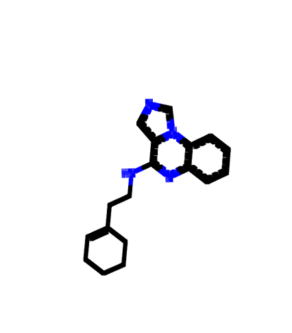 C1=C(CCNc2nc3ccccc3n3cncc23)CCCC1